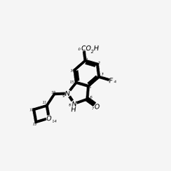 O=C(O)c1cc(F)c2c(=O)[nH]n(CC3CCO3)c2c1